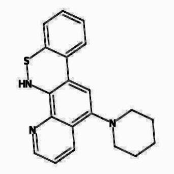 c1ccc2c(c1)SNc1c-2cc(N2CCCCC2)c2cccnc12